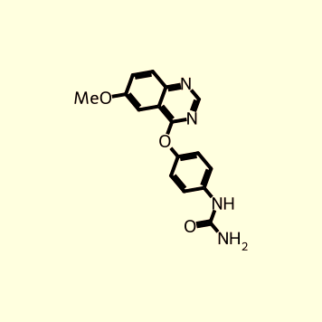 COc1ccc2ncnc(Oc3ccc(NC(N)=O)cc3)c2c1